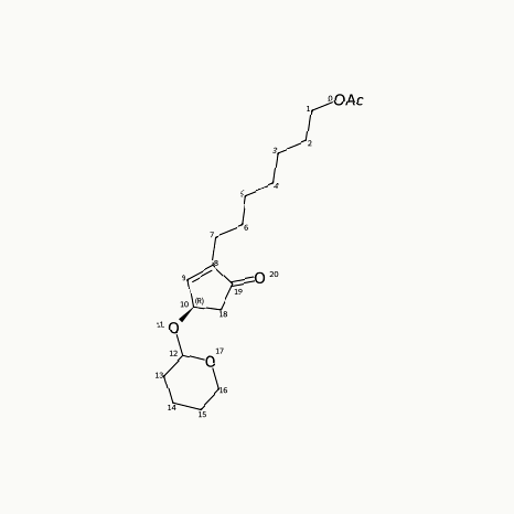 CC(=O)OCCCCCCCC1=C[C@H](OC2CCCCO2)CC1=O